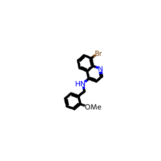 COc1ccccc1CNc1ccnc2c(Br)cccc12